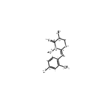 Cc1cc(Cl)ccc1N=C1SCN(C(C)C)C(=O)N1C